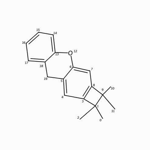 CC1(C)c2cc3c(cc2C1(C)C)Oc1ccccc1C3